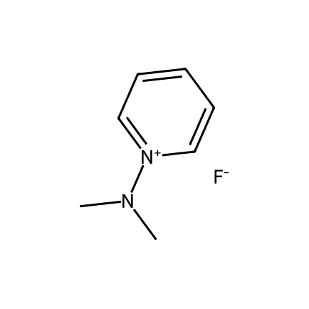 CN(C)[n+]1ccccc1.[F-]